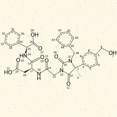 C[C@]1(c2ccc(CO)cc2)C(=O)N(CC(=O)N[C@@H](CC(=O)O)C(=O)N[C@H](C(=O)O)c2ccccc2)C(=O)N1Cc1ccccc1